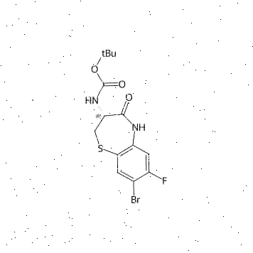 CC(C)(C)OC(=O)N[C@H]1CSc2cc(Br)c(F)cc2NC1=O